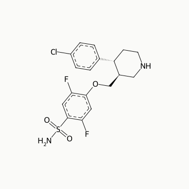 NS(=O)(=O)c1cc(F)c(OC[C@@H]2CNCC[C@H]2c2ccc(Cl)cc2)cc1F